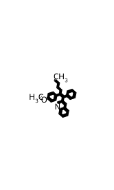 CCCCC/C(=C(\c1ccccc1)c1cnc2ccccc2c1)c1ccc(OC)cc1